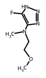 COCCN(C)c1nn[nH]c1F